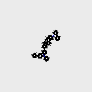 CC1(C)c2ccc(-c3ccc4c(c3)c3cc(-c5ccccc5)ccc3n4-c3ccccc3)cc2-c2ccc3c(c21)C(C)(C)c1ccc(-n2c4ccccc4c4ccccc42)cc1-3